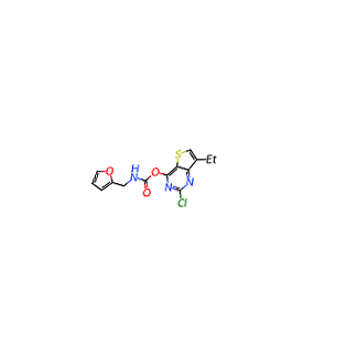 CCc1csc2c(OC(=O)NCc3ccco3)nc(Cl)nc12